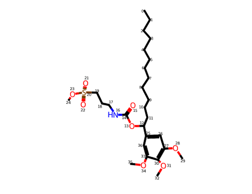 CCCCCCCCCCCCC(OC(=O)NCCCS(=O)(=O)OC)c1cc(OC)c(OC)c(OC)c1